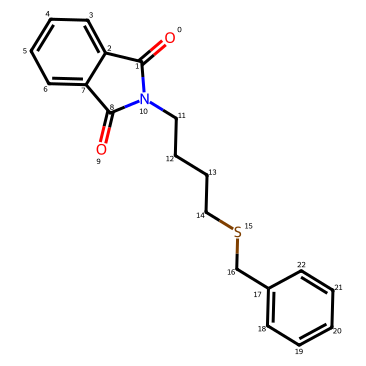 O=C1c2ccccc2C(=O)N1CCCCSCc1ccccc1